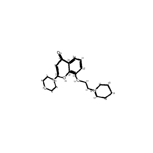 O=c1cc(N2CCOCC2)oc2c(OCCN3CCCCC3)cccc12